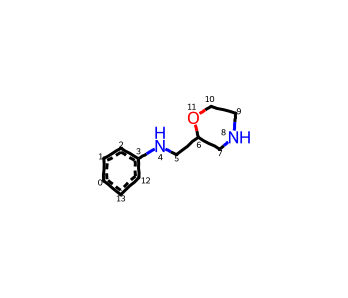 c1ccc(NCC2CNCCO2)cc1